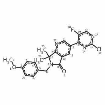 COc1ccc(CN2C(=O)c3cc(-c4nc(Cl)ncc4F)cnc3C2(C)C)cc1